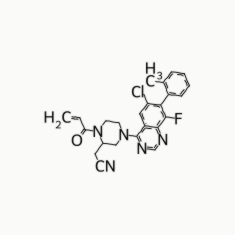 C=CC(=O)N1CCN(c2ncnc3c(F)c(-c4ccccc4C)c(Cl)cc23)CC1CC#N